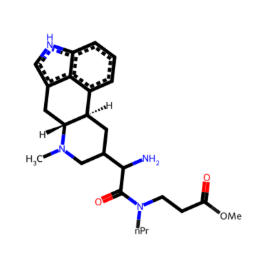 CCCN(CCC(=O)OC)C(=O)C(N)C1C[C@@H]2c3cccc4[nH]cc(c34)C[C@H]2N(C)C1